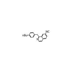 [C-]#[N+]c1ccc2ccnc(Cc3ccc(CCCC)cc3)c2c1